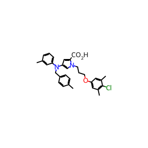 Cc1ccc(CN(c2cccc(C)c2)c2cc(C(=O)O)n(CCCOc3cc(C)c(Cl)c(C)c3)c2)cc1